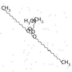 CCCCCCCCC=CCCCCCCCCOCC(COCCCCCCCCCCCCCCCC)OC(=O)CCCN(C)C